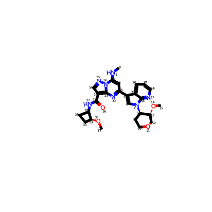 CNc1cc(-c2cn([C@@H]3CCOC[C@H]3OC)c3ncccc23)nc2c(C(=O)NC3CC[C@@H]3OC)cnn12